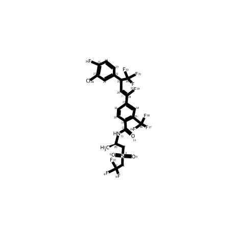 C[C@H](CS(=O)(=O)CC(F)(F)F)NC(=O)c1ccc(/C(F)=C/C(c2ccc(F)c(Cl)c2)C(F)(F)F)cc1C(F)(F)F